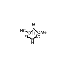 CCNCC.CO[PH](=O)OC#N